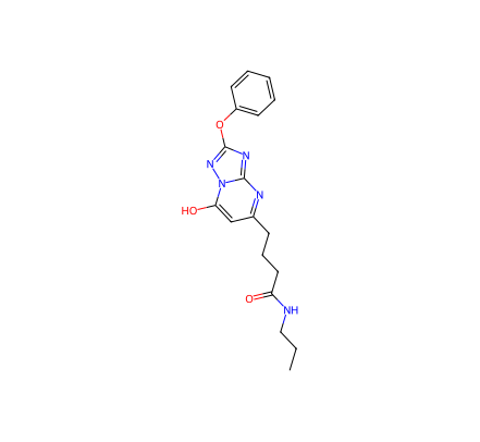 CCCNC(=O)CCCc1cc(O)n2nc(Oc3ccccc3)nc2n1